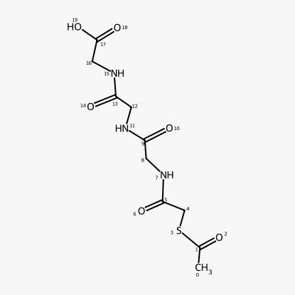 CC(=O)SCC(=O)NCC(=O)NCC(=O)NCC(=O)O